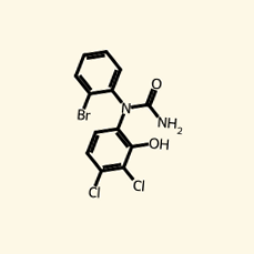 NC(=O)N(c1ccccc1Br)c1ccc(Cl)c(Cl)c1O